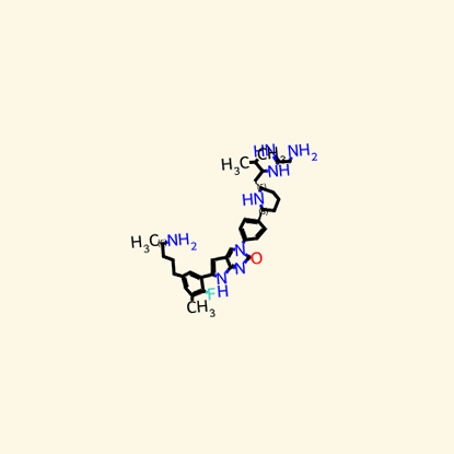 Cc1cc(CCC[C@H](C)N)cc(-c2cc3cn(-c4ccc([C@@H]5CCC[C@@H](CC(NC(=N)CN)C(C)C)N5)cc4)c(=O)nc3[nH]2)c1F